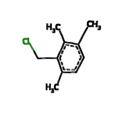 Cc1ccc(C)c(CCl)c1C